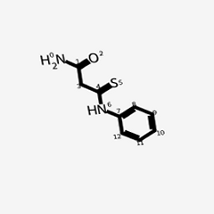 NC(=O)CC(=S)Nc1ccccc1